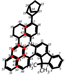 CC1(C)c2ccccc2-c2ccc(N(c3ccc(C4CC5CCC4C5)cc3)c3cc4ccccc4cc3C3CCCCC3)c(-c3cccc4ccccc34)c21